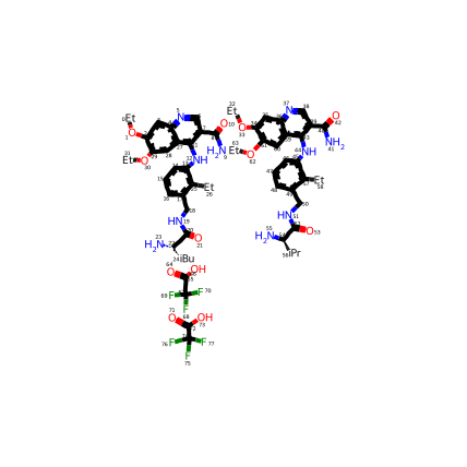 CCOc1cc2ncc(C(N)=O)c(Nc3cccc(CNC(=O)[C@@H](N)[C@@H](C)CC)c3CC)c2cc1OCC.CCOc1cc2ncc(C(N)=O)c(Nc3cccc(CNC(=O)[C@H](N)C(C)C)c3CC)c2cc1OCC.O=C(O)C(F)(F)F.O=C(O)C(F)(F)F